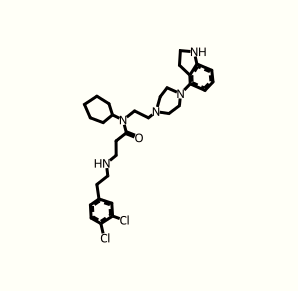 O=C(CCNCCc1ccc(Cl)c(Cl)c1)N(CCN1CCN(c2cccc3c2CCN3)CC1)C1CCCCC1